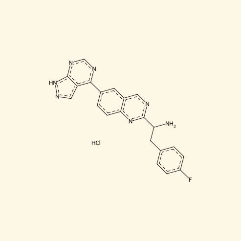 Cl.NC(Cc1ccc(F)cc1)c1ncc2cc(-c3ncnc4[nH]ncc34)ccc2n1